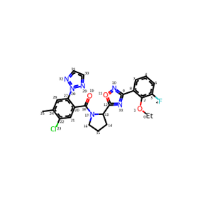 CCOc1c(F)cccc1-c1noc(C2CCCN2C(=O)c2cc(Cl)c(C)cc2-n2nccn2)n1